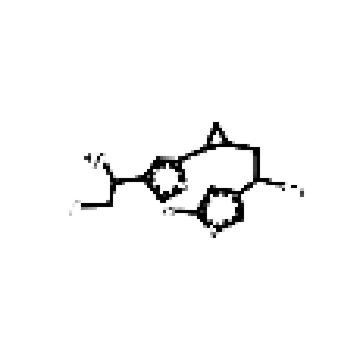 CCC(C)c1csc(C2CC2CC(C)c2csc(Cl)c2)c1